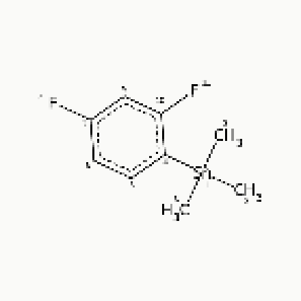 [CH3][Sn]([CH3])([CH3])[c]1ccc(F)cc1F